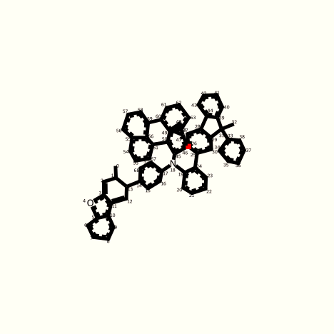 CC1C=c2oc3ccccc3c2=CC1c1ccc(N(c2ccccc2-c2ccc3c(c2)C(C)(c2ccccc2)c2ccccc2-3)c2cc3cc-3c2-c2cccc3cccc(-c4ccccc4)c23)cc1